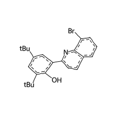 CC(C)(C)c1cc(-c2ccc3cccc(Br)c3n2)c(O)c(C(C)(C)C)c1